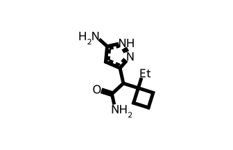 CCC1(C(C(N)=O)c2cc(N)[nH]n2)CCC1